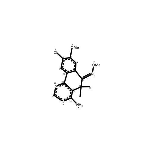 CO/N=C1\c2cc(OC)c(Cl)cc2-c2ncnc(N)c2C1(C)C